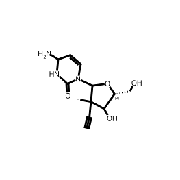 C#CC1(F)C(O)[C@@H](CO)OC1N1C=CC(N)NC1=O